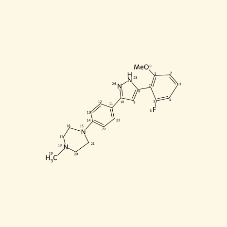 COc1cccc(F)c1-c1cc(-c2ccc(N3CCN(C)CC3)cc2)n[nH]1